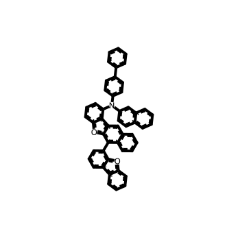 c1ccc(-c2ccc(N(c3ccc4ccccc4c3)c3cccc4oc5c(-c6cccc7c6oc6ccccc67)c6ccccc6cc5c34)cc2)cc1